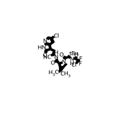 CC(C)(C)C(NC(=O)C(F)(F)Cl)C(=O)N1CC2C(C1C(=O)NC(C#N)CC1C(=O)Nc3ncc(Cl)cc31)C2(C)C